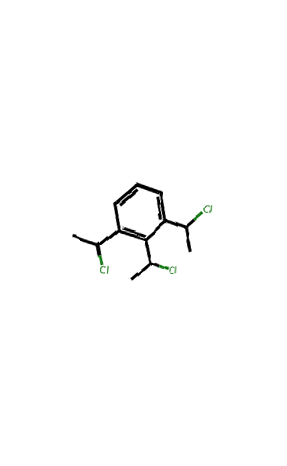 CC(Cl)c1cccc(C(C)Cl)c1C(C)Cl